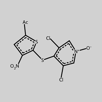 CC(=O)c1cc([N+](=O)[O-])c(Sc2c(Cl)c[n+]([O-])cc2Cl)s1